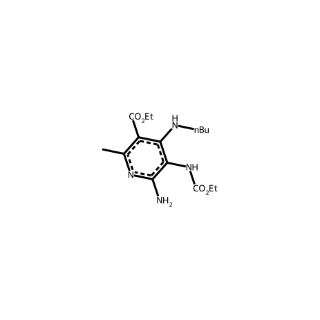 CCCCNc1c(NC(=O)OCC)c(N)nc(C)c1C(=O)OCC